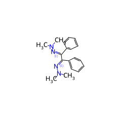 CN(C)/N=C(/C(=N/N(C)C)c1ccccc1)c1ccccc1